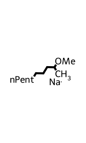 CCCCCCCCC(C)OC.[Na]